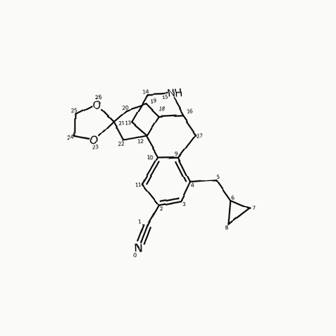 N#Cc1cc(CC2CC2)c2c(c1)C13CCNC(C2)C1CCC1(C3)OCCO1